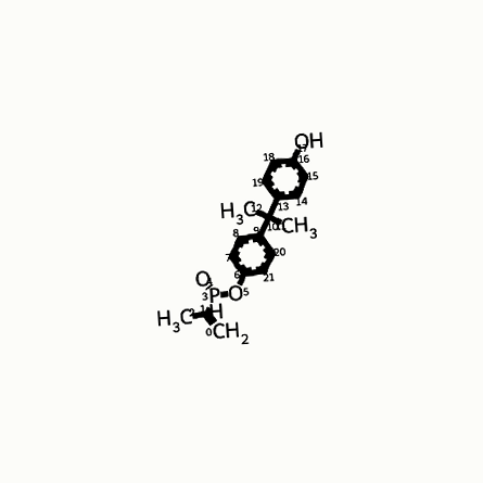 C=C(C)[PH](=O)Oc1ccc(C(C)(C)c2ccc(O)cc2)cc1